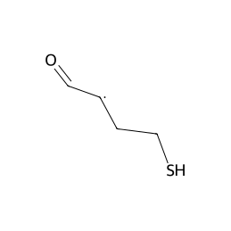 O=C[CH]CCS